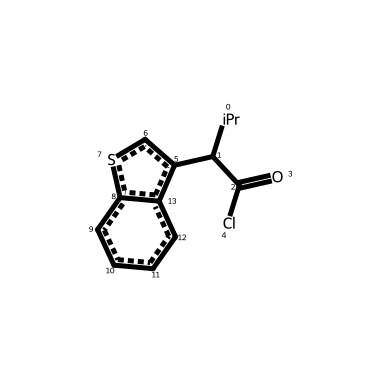 CC(C)C(C(=O)Cl)c1csc2ccccc12